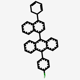 Fc1ccc(-c2c3ccccc3c(-c3ccc(C4C=CC=CC4)c4ccccc34)c3ccccc23)cc1